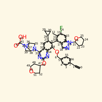 C#Cc1ccc(COc2c(-c3c(C)c(F)cc4c3cnn4C3CCCCO3)c(C3CC3)cc3c(N4CC5CC4CN5C(=O)O)nc(OC4CCOCC4)nc23)cc1